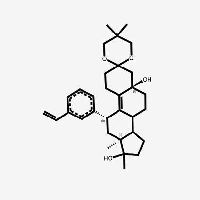 C=Cc1cccc([C@H]2C[C@@]3(C)C(CCC3(C)O)C3CC[C@@]4(O)CC5(CCC4=C32)OCC(C)(C)CO5)c1